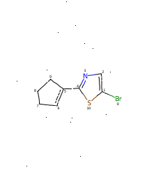 Brc1cnc(C2=CCCC2)s1